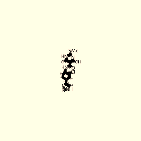 CSc1nc(O)c(C(=O)Nc2ccc(-c3c[nH]nn3)cc2Cl)c(=O)[nH]1